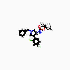 CC(C)(C)OC(=O)N[C@H]1CN(Cc2ccccc2)C[C@@H]1c1ccc(Cl)cc1F